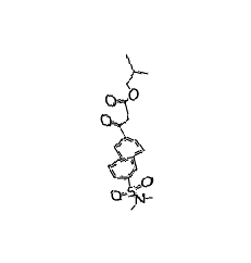 CC(C)COC(=O)CC(=O)c1ccc2cc(S(=O)(=O)N(C)C)ccc2c1